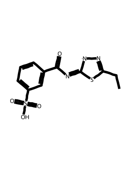 CCC1=N[N]C(=NC(=O)c2cccc(S(=O)(=O)O)c2)S1